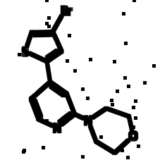 Brc1csc(-c2ccnc(N3CCOCC3)c2)c1